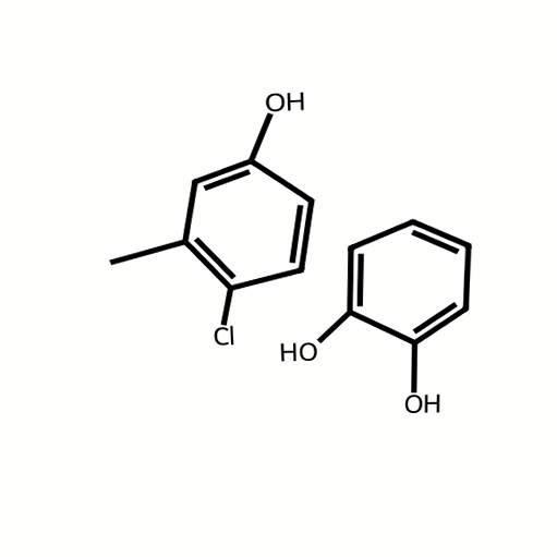 Cc1cc(O)ccc1Cl.Oc1ccccc1O